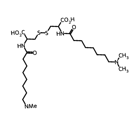 CNCCCCCCCC(=O)NC(CSSCC(NC(=O)CCCCCCCN(C)C)C(=O)O)C(=O)O